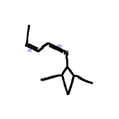 C/C=C\C=N/C1C(C)CC1C